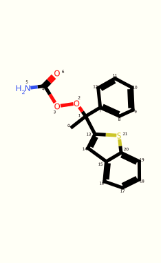 CC(OOC(N)=O)(c1ccccc1)c1cc2ccccc2s1